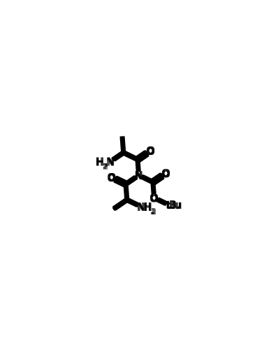 CC(N)C(=O)N(C(=O)OC(C)(C)C)C(=O)C(C)N